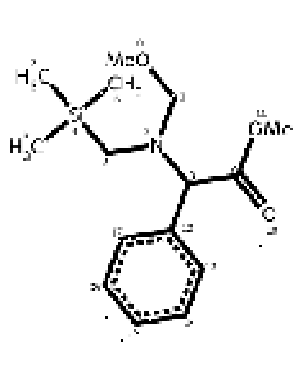 COCN(C[Si](C)(C)C)C(C(=O)OC)c1ccccc1